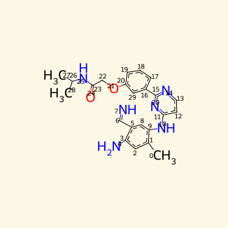 Cc1cc(N)c(C=N)cc1Nc1ccnc(-c2cccc(OCC(=O)NC(C)C)c2)n1